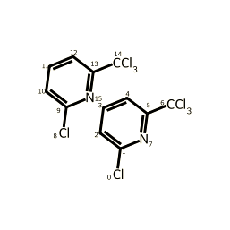 Clc1cccc(C(Cl)(Cl)Cl)n1.Clc1cccc(C(Cl)(Cl)Cl)n1